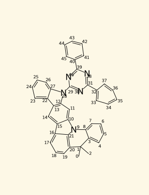 CC1(C)c2ccccc2-n2c3cc4c(cc3c3cccc1c32)c1ccccc1n4-c1nc(-c2ccccc2)nc(-c2ccccc2)n1